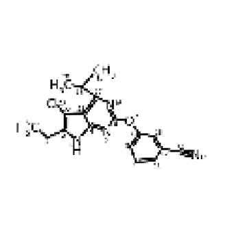 CCc1[nH]c2nc(Oc3cccc(C#N)c3)nc(C(C)C)c2c1Cl